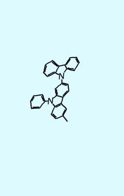 Cc1ccc2c(c1)c1ccc(-n3c4ccccc4c4ccccc43)cc1n2-c1ccccc1